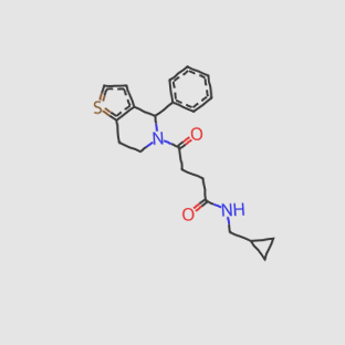 O=C(CCC(=O)N1CCc2sccc2C1c1ccccc1)NCC1CC1